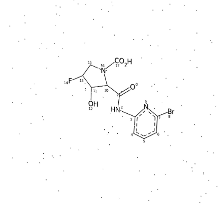 O=C(Nc1cccc(Br)n1)C1C(O)C(F)CN1C(=O)O